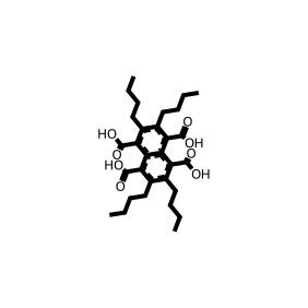 CCCCc1c(CCCC)c(C(=O)O)c2c(C(=O)O)c(CCCC)c(CCCC)c(C(=O)O)c2c1C(=O)O